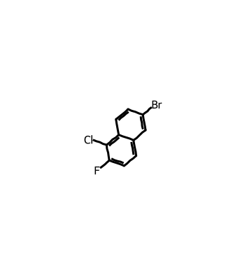 Fc1ccc2cc(Br)ccc2c1Cl